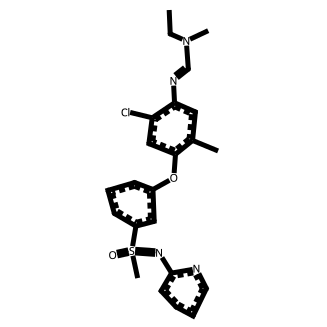 CCN(C)C=Nc1cc(C)c(Oc2cccc(S(C)(=O)=Nc3ccccn3)c2)cc1Cl